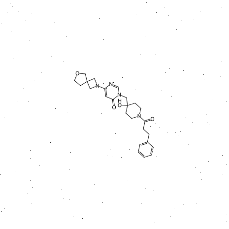 O=C(CCc1ccccc1)N1CCC(O)(Cn2cnc(N3CC4(CCOC4)C3)cc2=O)CC1